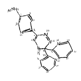 CC(=O)Nc1ccc(C2=NNC(c3ccccn3)(c3ccccn3)N=N2)nc1